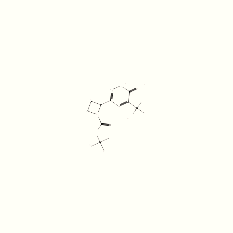 CC(C)(C)OC(=O)N1CCC1c1cc(C(F)(F)F)c(=O)[nH]n1